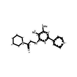 CSc1nc(-c2ccncc2)nc(SCC(=O)N2CCCCC2)c1C#N